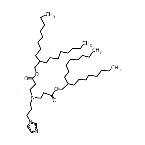 CCCCCCCCC(CCCCCCCC)COC(=O)CCN(CCCn1ccnc1)CCC(=O)OCC(CCCCCCCC)CCCCCCCC